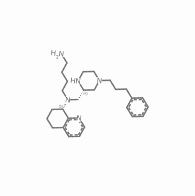 NCCCCN(C[C@H]1CN(CCCc2ccccc2)CCN1)[C@H]1CCCc2cccnc21